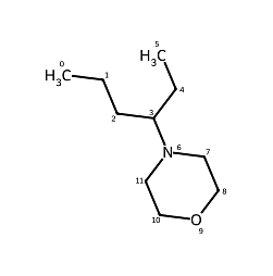 CCCC(CC)N1CCOCC1